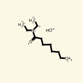 CCCCCCCC(=O)N(CC)CC.Cl